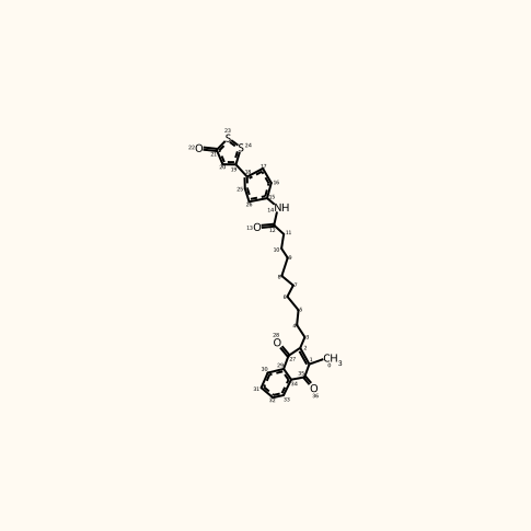 CC1=C(CCCCCCCCCC(=O)Nc2ccc(-c3cc(=O)ss3)cc2)C(=O)c2ccccc2C1=O